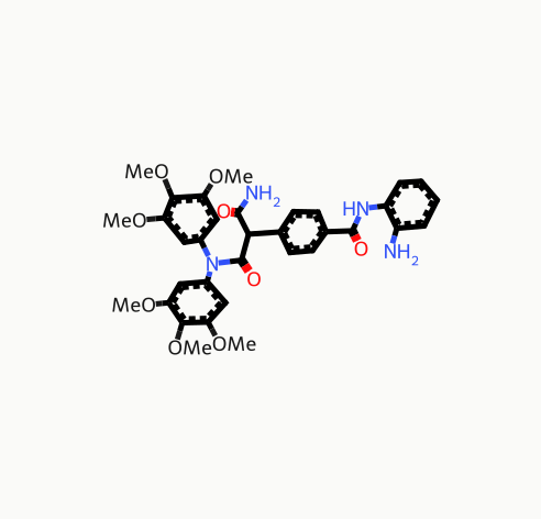 COc1cc(N(C(=O)C(C(N)=O)c2ccc(C(=O)Nc3ccccc3N)cc2)c2cc(OC)c(OC)c(OC)c2)cc(OC)c1OC